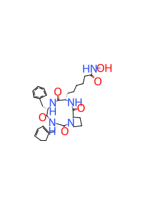 O=C(CCCCC[C@@H]1NC(=O)C2CCCN2C(=O)[C@H](CC2=CC=CCC2)NC(=O)[C@H](Cc2ccccc2)NC1=O)NO